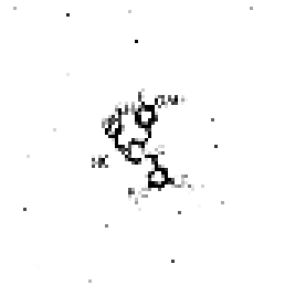 COc1cc(C[C@@H]2CN(Cc3cnn(C)c3)CCN2C(=O)c2cc(C(F)(F)F)cc(C(F)(F)F)c2)ccc1F.Cl